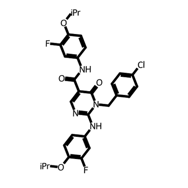 CC(C)Oc1ccc(NC(=O)c2cnc(Nc3ccc(OC(C)C)c(F)c3)n(Cc3ccc(Cl)cc3)c2=O)cc1F